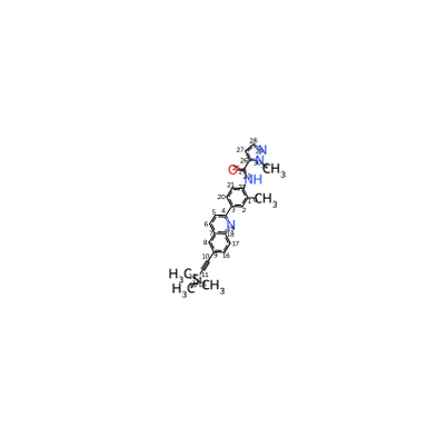 Cc1cc(-c2ccc3cc(C#C[Si](C)(C)C)ccc3n2)ccc1NC(=O)c1ccnn1C